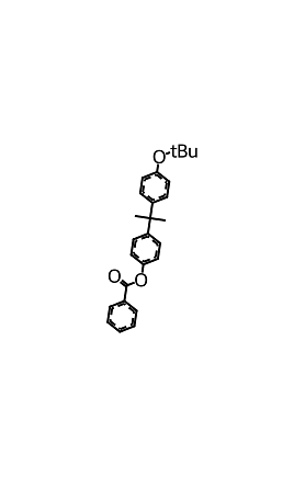 CC(C)(C)Oc1ccc(C(C)(C)c2ccc(OC(=O)c3ccccc3)cc2)cc1